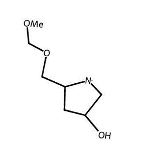 COCOCC1CC(O)C[N]1